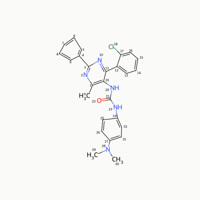 Cc1nc(-c2ccccc2)nc(-c2ccccc2Cl)c1NC(=O)Nc1ccc(N(C)C)cc1